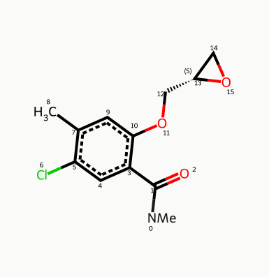 CNC(=O)c1cc(Cl)c(C)cc1OC[C@@H]1CO1